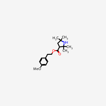 COc1ccc(CCOC(=O)C2CC(C)(C)NC2(C)C)cc1